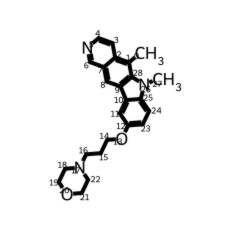 Cc1c2ccncc2cc2c3cc(OCCCN4CCOCC4)ccc3n(C)c12